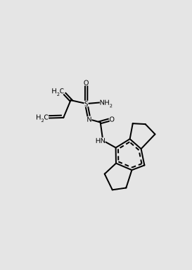 C=CC(=C)S(N)(=O)=NC(=O)Nc1c2c(cc3c1CCC3)CCC2